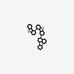 c1ccc2c(c1)-c1cccc3c(-c4ccc5oc6cccc(-c7cccc8oc9ccccc9c78)c6c5c4)ccc-2c13